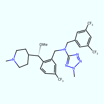 CO[C@H](c1ccc(C(F)(F)F)cc1CN(Cc1cc(C(F)(F)F)cc(C(F)(F)F)c1)c1nnn(C)n1)C1CCN(C)CC1